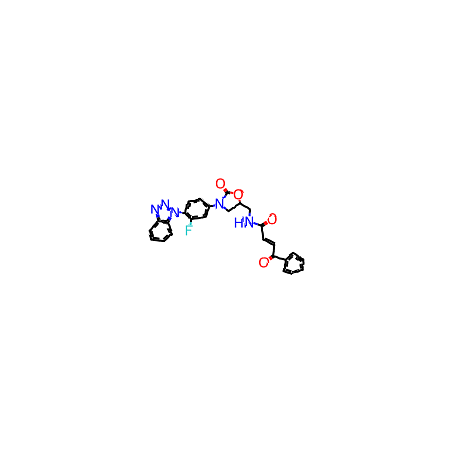 O=C(C=CC(=O)c1ccccc1)NCC1CN(c2ccc(-n3nnc4ccccc43)c(F)c2)C(=O)O1